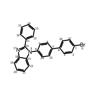 Brc1ccc(-c2ccc(-n3c(-c4ccccc4)nc4ccccc43)cc2)cc1